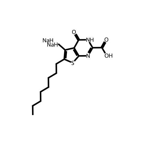 CCCCCCCCc1sc2nc(C(=O)O)[nH]c(=O)c2c1C.[NaH].[NaH]